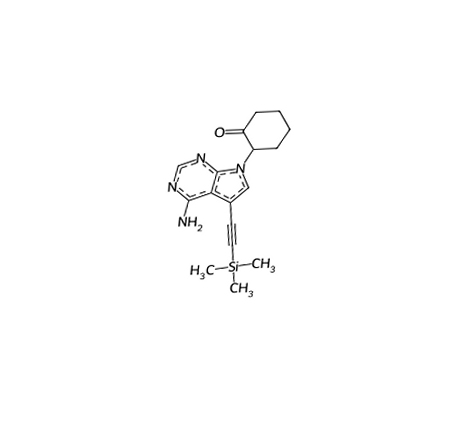 C[Si](C)(C)C#Cc1cn(C2CCCCC2=O)c2ncnc(N)c12